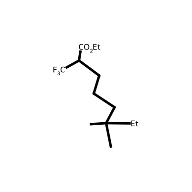 CCOC(=O)C(CCCC(C)(C)CC)C(F)(F)F